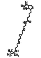 CC(C)(C)NCCCOCCOCCOCCNC(=O)CCCCC1SCC2NC(=O)NC21